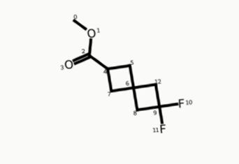 COC(=O)C1CC2(C1)CC(F)(F)C2